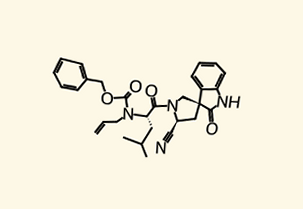 C=CCN(C(=O)OCc1ccccc1)[C@@H](CC(C)C)C(=O)N1C[C@]2(C[C@H]1C#N)C(=O)Nc1ccccc12